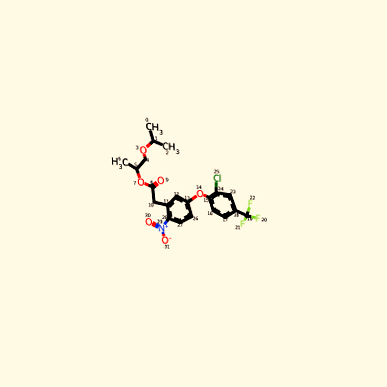 CC(C)OCC(C)OC(=O)Cc1cc(Oc2ccc(C(F)(F)F)cc2Cl)ccc1[N+](=O)[O-]